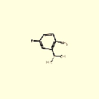 C[C@@H](O)c1cc(F)ccc1N